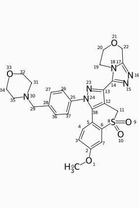 COc1ccc2c(c1)S(=O)(=O)Cc1c(-c3nnc4n3CCOC4)nn(-c3ccc(CN4CCOCC4)cc3)c1-2